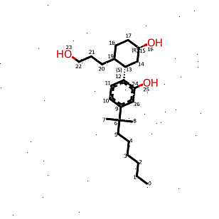 CCCCCCC(C)(C)c1ccc([C@H]2C[C@H](O)CCC2CCCO)c(O)c1